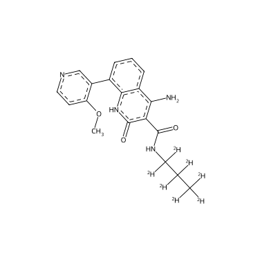 [2H]C([2H])([2H])C([2H])([2H])C([2H])([2H])NC(=O)c1c(N)c2cccc(-c3cnccc3OC)c2[nH]c1=O